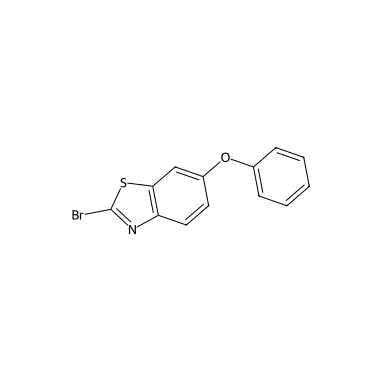 Brc1nc2ccc(Oc3ccccc3)cc2s1